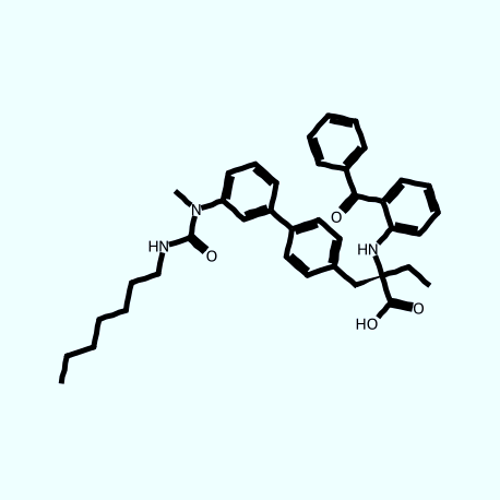 CCCCCCCNC(=O)N(C)c1cccc(-c2ccc(C[C@](CC)(Nc3ccccc3C(=O)c3ccccc3)C(=O)O)cc2)c1